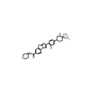 CC1(C)COC(c2ccc(-c3cn4c(n3)sc3cc(C(=O)NC5CCOCC5)ccc34)c(F)c2)CN1